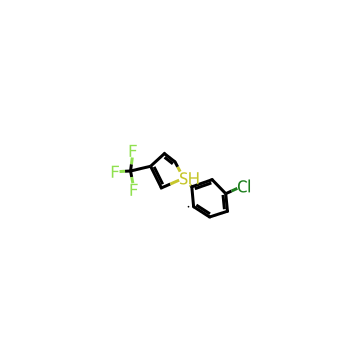 FC(F)(F)C1=C[SH](c2[c]ccc(Cl)c2)C=C1